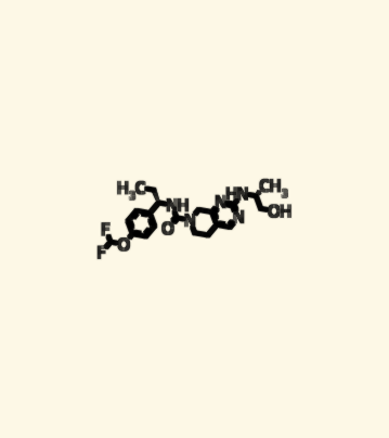 CC[C@@H](NC(=O)N1CCc2cnc(N[C@@H](C)CO)nc2C1)c1ccc(OC(F)F)cc1